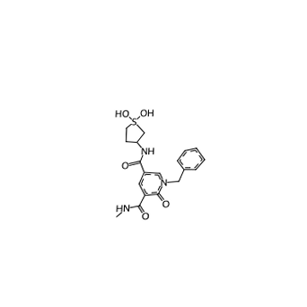 CNC(=O)c1cc(C(=O)NC2CCS(O)(O)C2)cn(Cc2ccccc2)c1=O